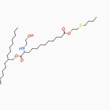 CCCCCCCCC(CCCCCCCC)COC(=O)C(CCCCCCCCCC(=O)OCCSCCCC)NCCO